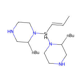 CC=C[SiH](N1CCNCC1CCCC)N1CCNCC1CCCC